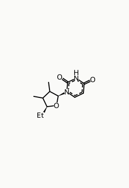 CC[C@@H]1O[C@H](n2ccc(=O)[nH]c2=O)C(C)C1C